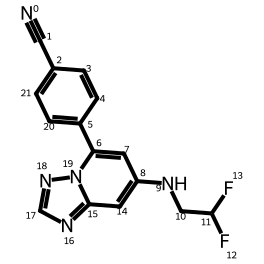 N#Cc1ccc(-c2cc(NCC(F)F)cc3ncnn23)cc1